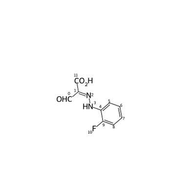 O=C/C(=N\Nc1ccccc1F)C(=O)O